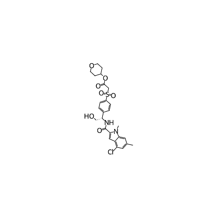 Cc1cc(Cl)c2cc(C(=O)N[C@H](CO)c3ccc(S(=O)(=O)CC(=O)OC4CCOCC4)cc3)n(C)c2c1